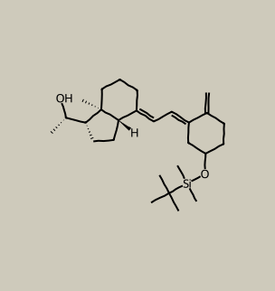 C=C1CCC(O[Si](C)(C)C(C)(C)C)C/C1=C\C=C1/CCC[C@]2(C)[C@@H]([C@H](C)O)CC[C@@H]12